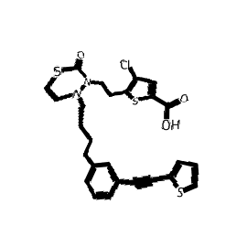 O=C(O)c1cc(Cl)c(CCN2C(=O)SCCN2CCCCc2cccc(C#Cc3cccs3)c2)s1